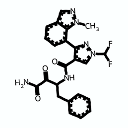 Cn1ncc2cccc(-c3nn(C(F)F)cc3C(=O)NC(Cc3ccccc3)C(=O)C(N)=O)c21